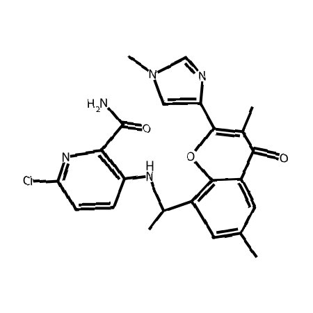 Cc1cc(C(C)Nc2ccc(Cl)nc2C(N)=O)c2oc(-c3cn(C)cn3)c(C)c(=O)c2c1